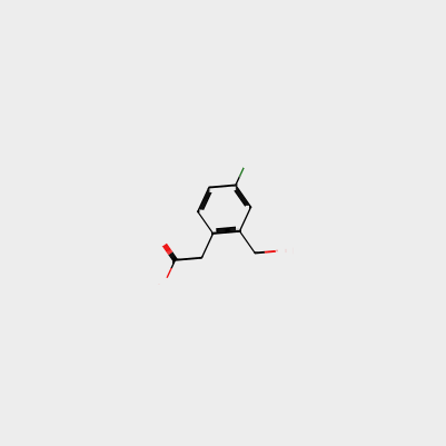 O=C(O)Cc1ccc(Cl)cc1CO